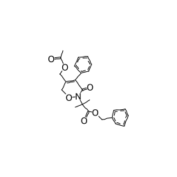 CC(=O)OCC1=C(c2ccccc2)C(=O)N(C(C)(C)C(=O)OCc2ccccc2)OC1